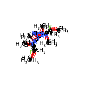 CCc1cc(OCOCC[Si](C)(C)C)c(F)cc1-c1ccc2c(-c3nc4c(n3COCC[Si](C)(C)C)CN(c3ccnnc3C(=O)c3nnccc3N3Cc5nc(-c6nn(COCC[Si](C)(C)C)c7cc(-c8cc(F)c(OCOCC[Si](C)(C)C)cc8CC)ccc67)n(COCC[Si](C)(C)C)c5C3)C4)nn(COCC[Si](C)(C)C)c2c1